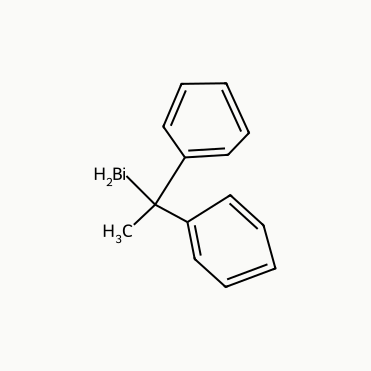 C[C]([BiH2])(c1ccccc1)c1ccccc1